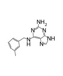 Cc1cccc(CNc2nc(N)nc3[nH]cnc23)c1